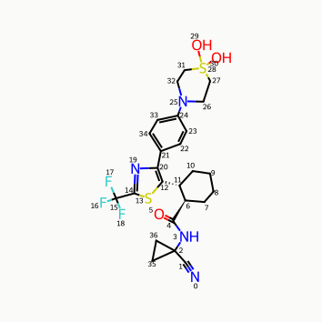 N#CC1(NC(=O)[C@@H]2CCCC[C@H]2c2sc(C(F)(F)F)nc2-c2ccc(N3CCS(O)(O)CC3)cc2)CC1